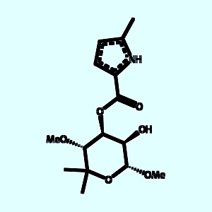 CO[C@@H]1OC(C)(C)[C@H](OC)[C@@H](OC(=O)c2ccc(C)[nH]2)[C@H]1O